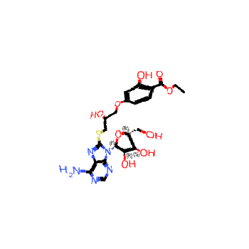 CCOC(=O)c1ccc(OCC(O)CSc2nc3c(N)ncnc3n2[C@@H]2O[C@H](CO)[C@@H](O)[C@H]2O)cc1O